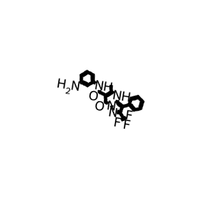 Cc1[nH]c2c(-c3ccccc3)c(C(F)(F)F)nn2c(=O)c1C(=O)Nc1cccc(N)c1